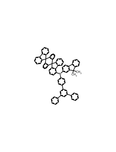 CC1(C)c2ccccc2-c2ccc(N(c3ccc(-c4cc(-c5ccccc5)cc(-c5ccccc5)c4)cc3)c3cccc4c3-c3ccccc3C43c4ccccc4C4(c5ccccc5-c5ccccc54)c4ccccc43)cc21